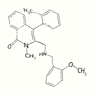 COc1ccccc1CNCc1c(-c2ccccc2C)c2ccccc2c(=O)n1C